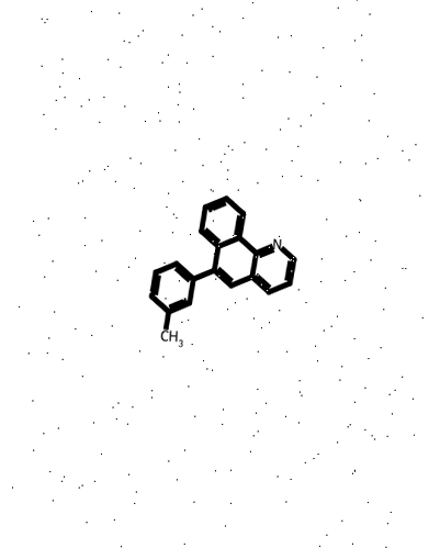 Cc1cccc(-c2cc3cccnc3c3ccccc23)c1